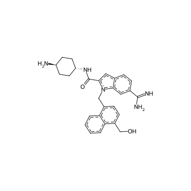 N=C(N)c1ccc2cc(C(=O)N[C@H]3CC[C@H](N)CC3)n(Cc3ccc(CO)c4ccccc34)c2c1